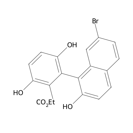 CCOC(=O)c1c(O)ccc(O)c1-c1c(O)ccc2ccc(Br)cc12